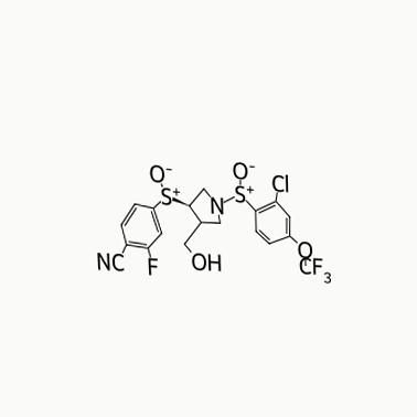 N#Cc1ccc([S+]([O-])[C@H]2CN([S+]([O-])c3ccc(OC(F)(F)F)cc3Cl)CC2CO)cc1F